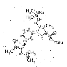 CC1[C@H](CO[Si](C)(C)C(C)(C)C)[C@@H](c2cccc(F)c2)CN1C(=O)OC(C)(C)C.CN(C)CCN(C)C